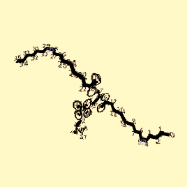 CCCC/C=C\CCCCCCCC(=O)O[C@H](COC(=O)CCCCCCC/C=C\CCCCCC)COP(=O)([O-])OCC[N+](C)(C)C